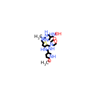 COC1CCC(C2NC3CC(CN(C)C4NCC(C(=O)NO)CN4)SC3C(N3CCOCC3)N2)CN1